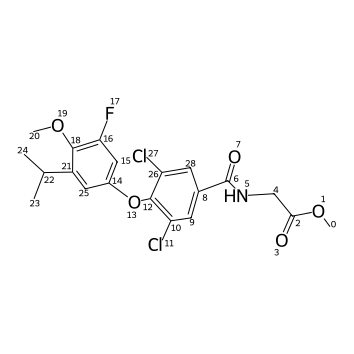 COC(=O)CNC(=O)c1cc(Cl)c(Oc2cc(F)c(OC)c(C(C)C)c2)c(Cl)c1